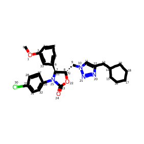 COc1cccc([C@H]2[C@H](Cn3cc(CC4CCCCC4)nn3)OC(=O)N2c2ccc(Cl)cc2)c1